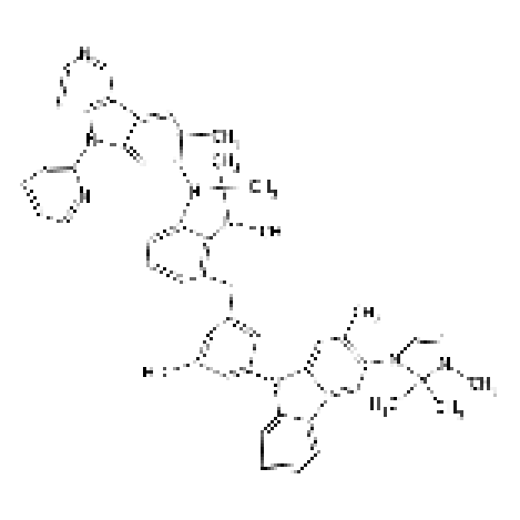 Cc1cc(Cc2cccc3c2N(C)C(C)(C)N3c2cc3c(cc2C)c2cnccc2n3-c2ccccn2)cc(-n2c3ccccc3c3cc(N4C=CN(C)C4(C)C)c(C)cc32)c1